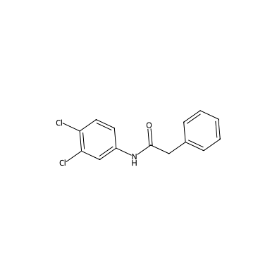 O=C(Cc1ccccc1)Nc1ccc(Cl)c(Cl)c1